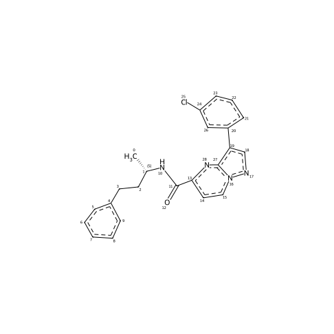 C[C@@H](CCc1ccccc1)NC(=O)c1ccn2ncc(-c3cccc(Cl)c3)c2n1